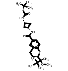 CO[C@@](C)([C@H]1CCc2cc(C(=N)N[C@H]3C[C@@H](NC(=O)OC(C)(C)C)C3)ccc2O1)C(C)(C)C